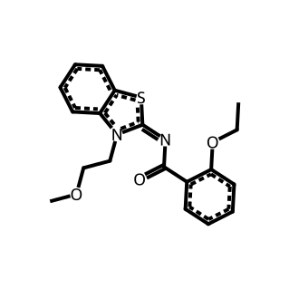 CCOc1ccccc1C(=O)N=c1sc2ccccc2n1CCOC